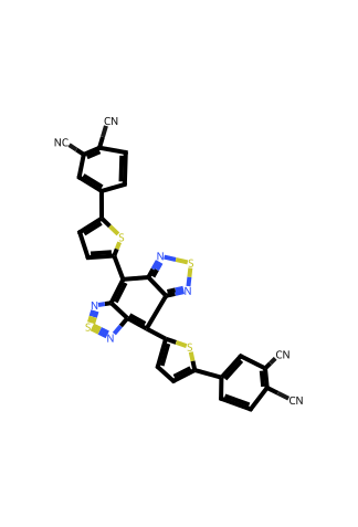 N#Cc1ccc(-c2ccc(-c3c4c(c(-c5ccc(-c6ccc(C#N)c(C#N)c6)s5)c5nsnc35)N=S=N4)s2)cc1C#N